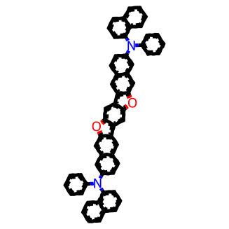 c1ccc(N(c2ccc3cc4c(cc3c2)oc2cc3c(cc24)oc2cc4cc(N(c5ccccc5)c5cccc6ccccc56)ccc4cc23)c2cccc3ccccc23)cc1